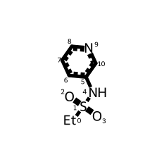 CCS(=O)(=O)Nc1cccnc1